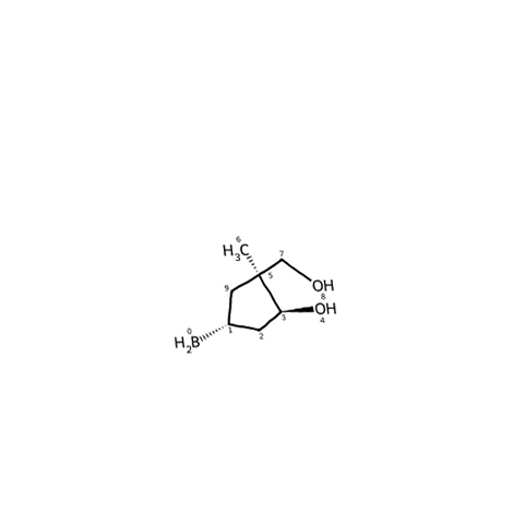 B[C@H]1C[C@H](O)[C@](C)(CO)C1